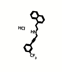 Cl.FC(F)(F)c1cccc(C#CCNCCc2cccc3ccccc23)c1